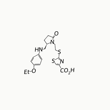 CCOc1ccc(NC[C@H]2CCC(=O)N2CCSc2nc(C(=O)O)cs2)cc1